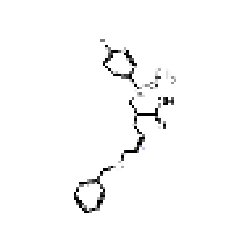 CO[C@H](CC(C/C=C\COCc1ccccc1)C(=O)O)c1ccc(F)cc1